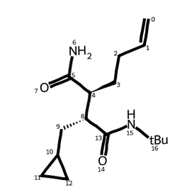 C=CCC[C@H](C(N)=O)[C@@H](CC1CC1)C(=O)NC(C)(C)C